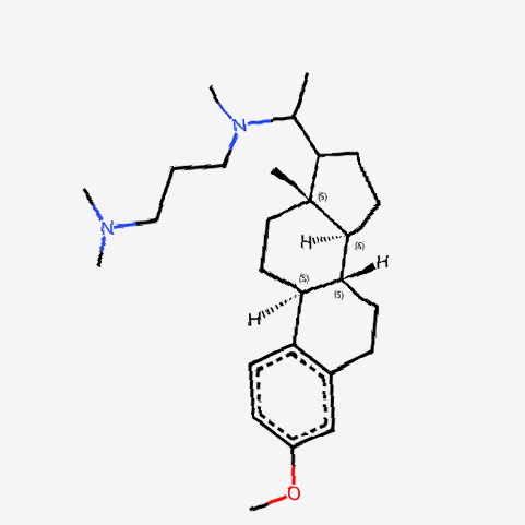 COc1ccc2c(c1)CC[C@@H]1[C@@H]2CC[C@]2(C)C(C(C)N(C)CCCN(C)C)CC[C@@H]12